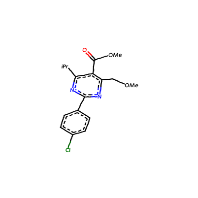 COCc1nc(-c2ccc(Cl)cc2)nc(C(C)C)c1C(=O)OC